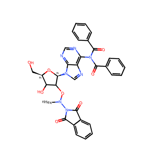 CCCCCCN(OC1C(O)[C@@H](CO)O[C@H]1n1cnc2c(N(C(=O)c3ccccc3)C(=O)c3ccccc3)ncnc21)N1C(=O)c2ccccc2C1=O